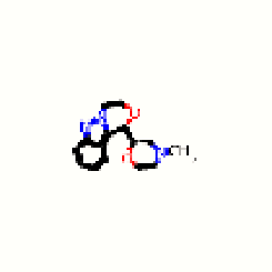 CN1CCO[C@@H]([C@@H]2OCCn3nc4ccccc4c32)C1